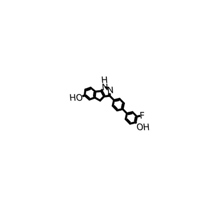 Oc1ccc2c(c1)Cc1c(-c3ccc(-c4ccc(O)c(F)c4)cc3)n[nH]c1-2